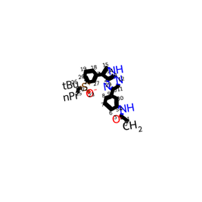 C=CC(=O)Nc1cccc(-c2cnc3[nH]cc(-c4cccc([S+]([O-])C(CCC)C(C)(C)C)c4)c3n2)c1